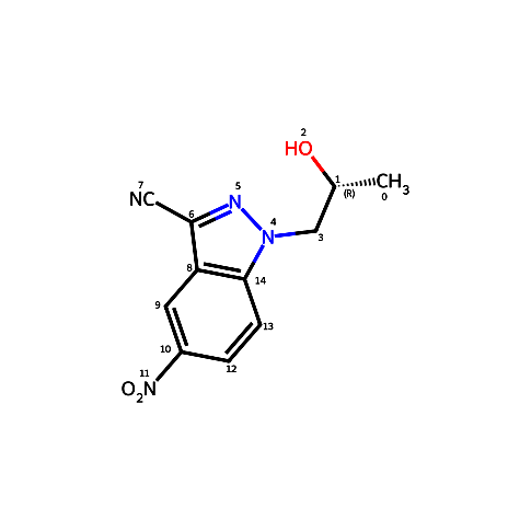 C[C@@H](O)Cn1nc(C#N)c2cc([N+](=O)[O-])ccc21